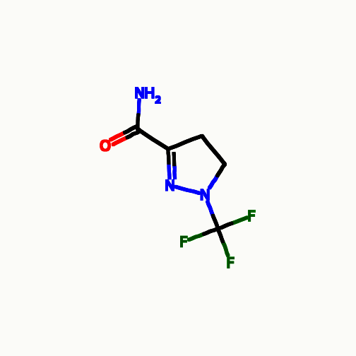 NC(=O)C1=NN(C(F)(F)F)CC1